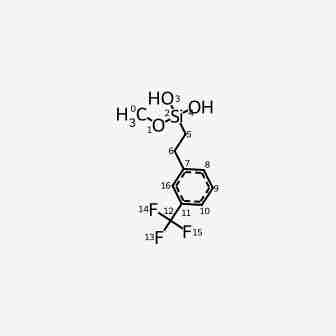 CO[Si](O)(O)CCc1cccc(C(F)(F)F)c1